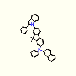 CC1(C)c2cc(N(c3ccccc3)c3ccc4ccccc4c3)ccc2-c2ccc(-n3c(-c4ccccc4)cc4ccccc43)cc21